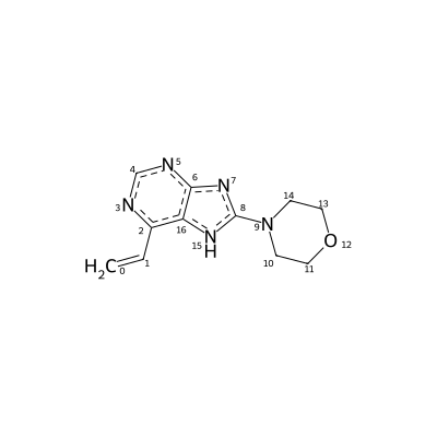 C=Cc1ncnc2nc(N3CCOCC3)[nH]c12